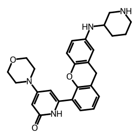 O=c1cc(N2CCOCC2)cc(-c2cccc3c2Oc2ccc(NC4CCCNC4)cc2C3)[nH]1